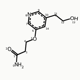 NC(=O)CCOc1cncc([CH]CO)c1